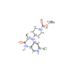 C[C@@H]1C(=O)N(C)c2cnc(Cl)cc2N1C1CCN(C(=O)OC(C)(C)C)CC1